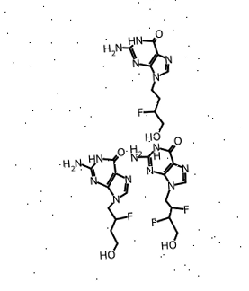 Nc1nc2c(ncn2CC(F)C(F)CO)c(=O)[nH]1.Nc1nc2c(ncn2CC(F)CCO)c(=O)[nH]1.Nc1nc2c(ncn2CCC(F)CO)c(=O)[nH]1